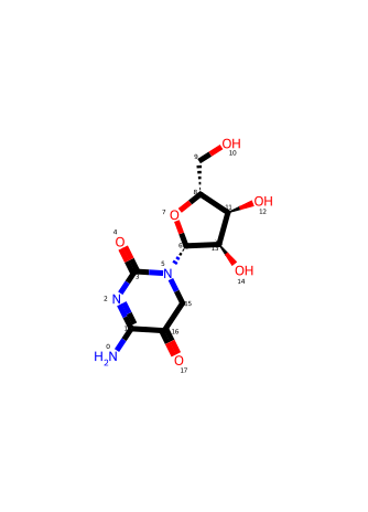 NC1=NC(=O)N([C@@H]2O[C@H](CO)[C@@H](O)[C@H]2O)CC1=O